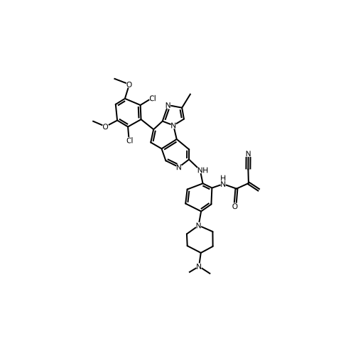 C=C(C#N)C(=O)Nc1cc(N2CCC(N(C)C)CC2)ccc1Nc1cc2c(cn1)cc(-c1c(Cl)c(OC)cc(OC)c1Cl)c1nc(C)cn12